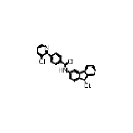 CCC1c2ccccc2-c2cc(NC(=O)c3ccc(-c4ncccc4Cl)cc3)ccc21